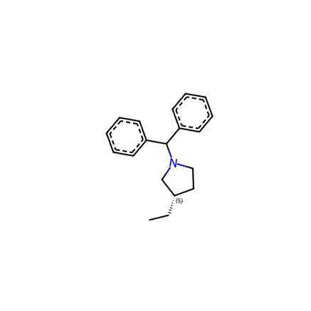 CC[C@H]1CCN(C(c2ccccc2)c2ccccc2)C1